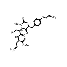 C=CCOc1ccc(CC(NC(=O)OC(C)(C)C)C(=O)NC(CC(C)C)C(=O)NC(CC=C)C(=O)OC)cc1